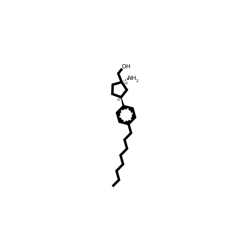 CCCCCCCCc1ccc([C@H]2CC[C@@](N)(CO)C2)cc1